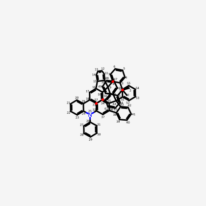 CC1(C)c2ccccc2C2(c3ccccc3-c3cc(-c4ccccc4N(c4ccccc4)c4ccc5c(c4)-c4ccccc4C5(c4ccccc4)c4ccccc4)ccc32)c2ccccc21